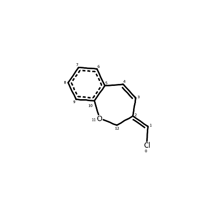 ClC=C1C=Cc2ccccc2OC1